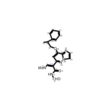 CN/C=C(\C(=O)NC=O)c1cc(OCC(C)c2ccccc2)c2nccn2n1